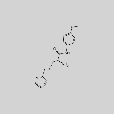 COc1ccc(NC(=O)[C@@H](N)CSCc2ccccc2)cc1